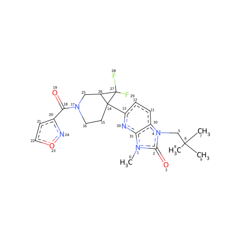 Cn1c(=O)n(CC(C)(C)C)c2ccc(C34CCN(C(=O)c5ccon5)CC3C4(F)F)nc21